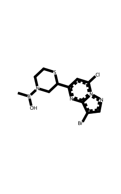 CB(O)N1CCSC(c2cc(Cl)n3ncc(Br)c3n2)C1